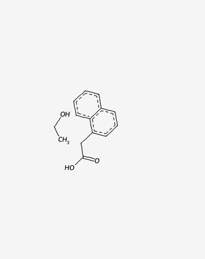 CCO.O=C(O)Cc1cccc2ccccc12